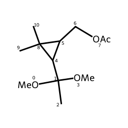 COC(C)(OC)C1C(COC(C)=O)C1(C)C